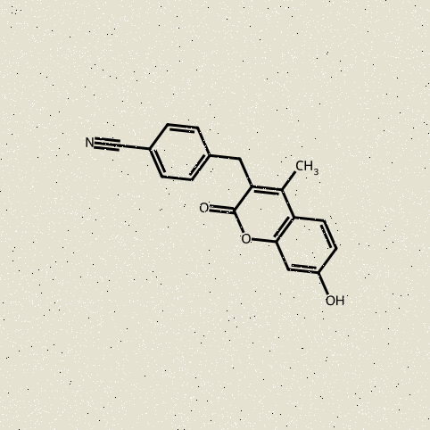 Cc1c(Cc2ccc(C#N)cc2)c(=O)oc2cc(O)ccc12